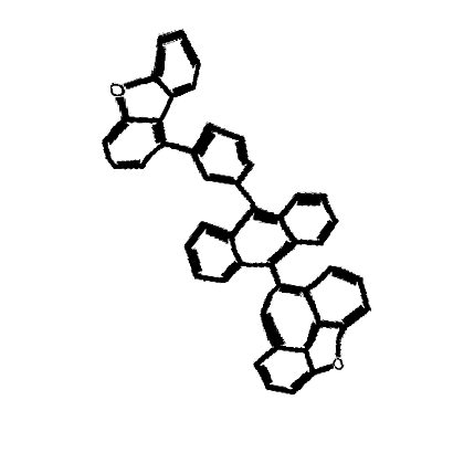 c1cc(-c2c3ccccc3c(-c3cc4cccc5oc6cccc3c6c45)c3ccccc23)cc(-c2cccc3oc4ccccc4c23)c1